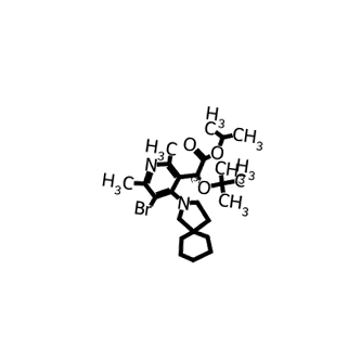 Cc1nc(C)c([C@H](OC(C)(C)C)C(=O)OC(C)C)c(N2CCC3(CCCCC3)C2)c1Br